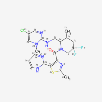 Cc1nc(C(=O)N2CC(F)(F)CC(C)C2CNC2N=CC(Cl)=CN2C)c(C2N=CC=CN2)s1